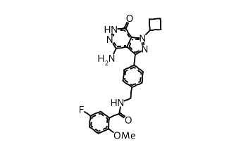 COc1ccc(F)cc1C(=O)NCc1ccc(-c2nn(C3CCC3)c3c(=O)[nH]nc(N)c23)cc1